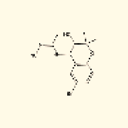 C/C(=N/C#N)NC1c2cc(Br)ccc2OC(C)(C)C1O